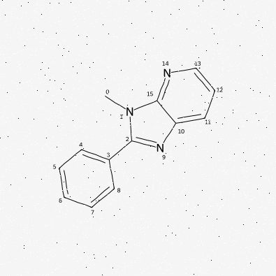 Cn1c(-c2ccccc2)nc2cc[c]nc21